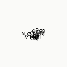 Cc1c(COC2=C(Cl)C=C(CN(C)CCS(=O)(=O)NC(=O)C(F)(F)F)C(OCc3cncc(C#N)c3)=CC2)cccc1-c1ccc2c(c1)OCCO2